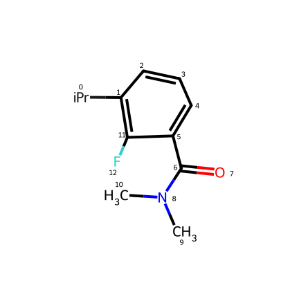 CC(C)c1cccc(C(=O)N(C)C)c1F